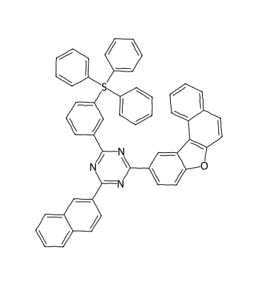 c1ccc(S(c2ccccc2)(c2ccccc2)c2cccc(-c3nc(-c4ccc5ccccc5c4)nc(-c4ccc5oc6ccc7ccccc7c6c5c4)n3)c2)cc1